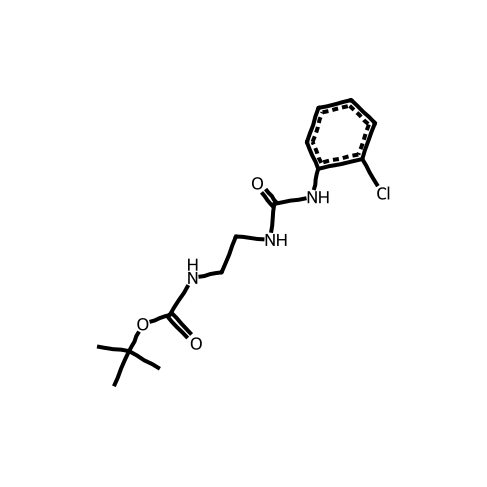 CC(C)(C)OC(=O)NCCNC(=O)Nc1ccccc1Cl